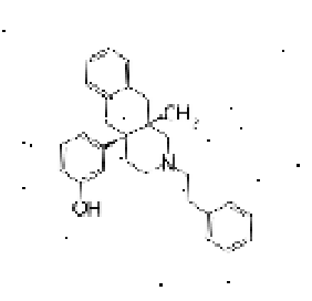 C[C@]12Cc3ccccc3C[C@@]1(c1cccc(O)c1)CCN(CCc1ccccc1)C2